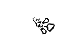 C=Cc1ccc([PH](c2ccccc2)(c2ccccc2)c2ccccc2)cc1